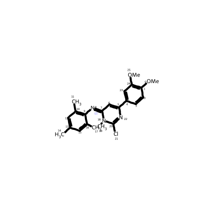 COc1ccc(-c2c/c(=N/c3c(C)cc(C)cc3C)n(C)c(Cl)n2)cc1OC